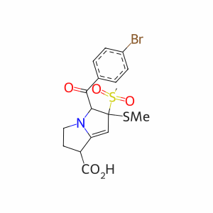 CSC1(S(C)(=O)=O)C=C2C(C(=O)O)CCN2C1C(=O)c1ccc(Br)cc1